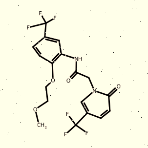 COCCOc1ccc(C(F)(F)F)cc1NC(=O)Cn1cc(C(F)(F)F)ccc1=O